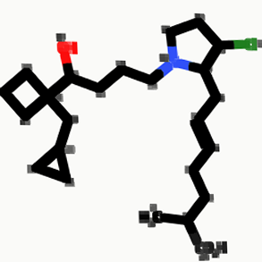 CC(CCC=CCC1C(Cl)CCN1CCCC(O)C1(CC2CC2)CCC1)C(=O)O